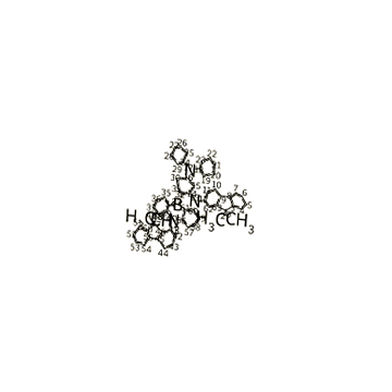 CC1(C)c2ccccc2-c2ccc(N3c4cc(N(c5ccccc5)c5ccccc5)ccc4B4c5ccccc5N(c5cccc6c5C(C)(C)c5ccccc5-6)c5cccc3c54)cc21